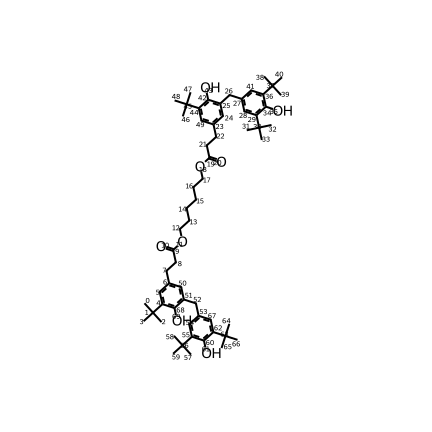 CC(C)(C)c1cc(CCC(=O)OCCCCCCOC(=O)CCc2cc(Cc3cc(C(C)(C)C)c(O)c(C(C)(C)C)c3)c(O)c(C(C)(C)C)c2)cc(Cc2cc(C(C)(C)C)c(O)c(C(C)(C)C)c2)c1O